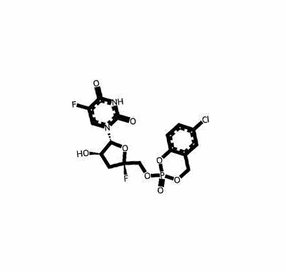 O=c1[nH]c(=O)n([C@@H]2O[C@](F)(COP3(=O)OCc4cc(Cl)ccc4O3)C[C@H]2O)cc1F